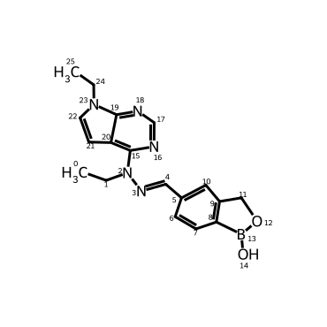 CCN(/N=C/c1ccc2c(c1)COB2O)c1ncnc2c1ccn2CC